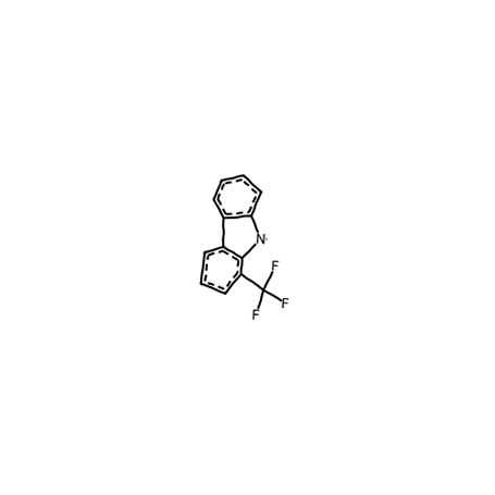 FC(F)(F)c1cccc2c1[N]c1ccccc1-2